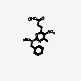 CCCCN(Cc1ccccc1)c1nc(C)c([N+](=O)[O-])c(CCC(=O)C=O)n1